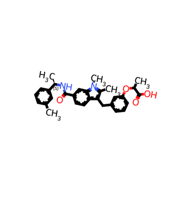 Cc1cccc([C@H](C)NC(=O)c2ccc3c(Cc4cccc(OC(C)C(=O)O)c4)c(C)n(C)c3c2)c1